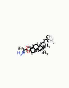 C=C(C)CCCC1C2CCC3=C[C@@H](OC(=O)[C@@H](N)C(C)C)CC[C@]3(C)C2CCC1(C)C